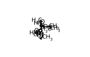 CNS(=O)(=O)c1cc(-c2cc(NC(C)=O)nn2COCC[Si](C)(C)C)cc2c1C(=O)N([C@@H](C)C1CC1)C2